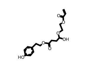 C=CC(=O)OCCOC(O)CCC(=O)OCCc1ccc(O)cc1